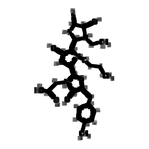 CCCCn1/c(=c2\sc(=Cc3ccc(C)cc3)c(=O)n2CC(=O)O)sc(=O)/c1=C1\SC(=S)C(=O)N1CC